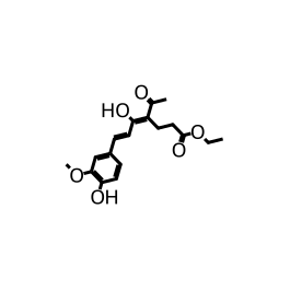 CCOC(=O)CC/C(C(C)=O)=C(O)\C=C\c1ccc(O)c(OC)c1